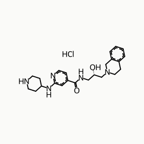 Cl.O=C(NC[C@H](O)CN1CCc2ccccc2C1)c1ccnc(NC2CCNCC2)c1